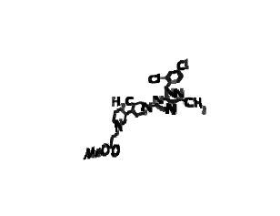 COC(=O)CCN1CCCC(C2CCN(c3cnc4c(C)nn(Cc5ccc(Cl)cc5Cl)c4n3)CC2C)C1